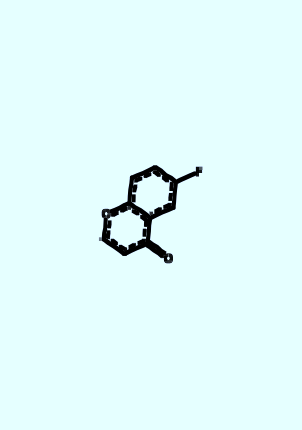 O=c1c[c]oc2ccc(F)cc12